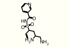 C=CC(CC(N)CN)S(=O)(=O)NC(=O)c1cccnc1